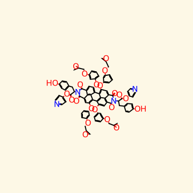 O=C(Oc1ccncc1)C(Cc1ccc(O)cc1)N1C(=O)c2cc(Oc3cccc(OCC4CO4)c3)c3c4c(Oc5cccc(OCC6CO6)c5)cc5c6c(cc(Oc7cccc(OCC8CO8)c7)c(c7c(Oc8cccc(OCC9CO9)c8)cc(c2c37)C1=O)c64)C(=O)N(C(Cc1ccc(O)cc1)C(=O)Oc1ccncc1)C5=O